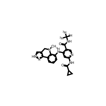 [2H]C([2H])([2H])NC(=O)c1cnc(NC(=O)C2CC2)cc1Nc1cccc2c1N(C)Cc1c[nH]nc1-2